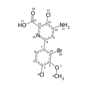 COc1c(Cl)ccc(-c2cc(N)c(Cl)c(C(=O)O)n2)c1Br